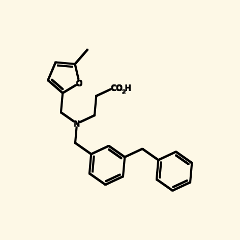 Cc1ccc(CN(CCC(=O)O)Cc2cccc(Cc3ccccc3)c2)o1